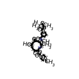 C/C(=C\C1=CCCN(C(=O)OC(C)(C)C)C1)[C@H]1C(=O)C(=O)C[C@H](O)CC[C@H](C)[C@@H](OC(=O)N2CCN(C)CC2)/C=C/[C@@H]1C